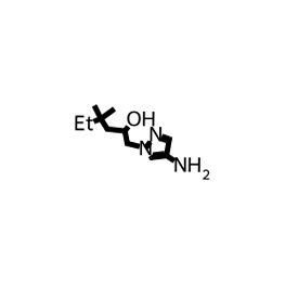 CCC(C)(C)CC(O)Cn1cc(N)cn1